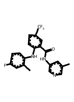 Cc1cncc(NC(=O)c2cc(C(F)(F)F)ccc2Nc2ccc(F)cc2C)c1